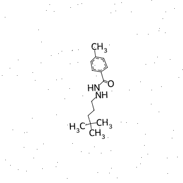 Cc1ccc(C(=O)NNCCCC(C)(C)C)cc1